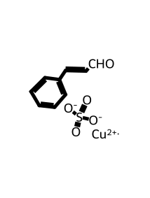 O=CC=Cc1ccccc1.O=S(=O)([O-])[O-].[Cu+2]